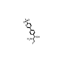 CS(=O)(=O)c1ccc(-c2ccc([C@@H](O)[C@H](N)CF)cc2)cn1